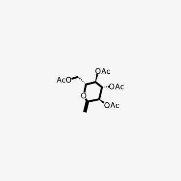 C=C1O[C@H](COC(C)=O)[C@@H](OC(C)=O)[C@H](OC(C)=O)[C@H]1OC(C)=O